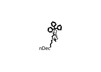 CCCCCCCCCCCCCCN(CC(I)COC(c1ccccc1)(c1ccccc1)c1ccccc1)C(C)=S